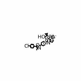 Cc1nc(C2CCN(c3nc4c(c(NC5(CO)CC5)n3)[S+]([O-])CC4)CC2)oc1-c1ccc(Cl)cc1